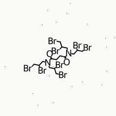 O=C(CCC(=O)N(CC(Br)CBr)CC(Br)CBr)N(CC(Br)CBr)CC(Br)CBr